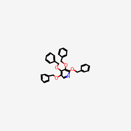 c1ccc(COc2cnc(OCc3ccccc3)c(OCc3ccccc3)c2OCc2ccccc2)cc1